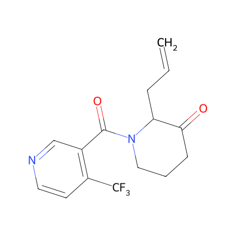 C=CCC1C(=O)CCCN1C(=O)c1cnccc1C(F)(F)F